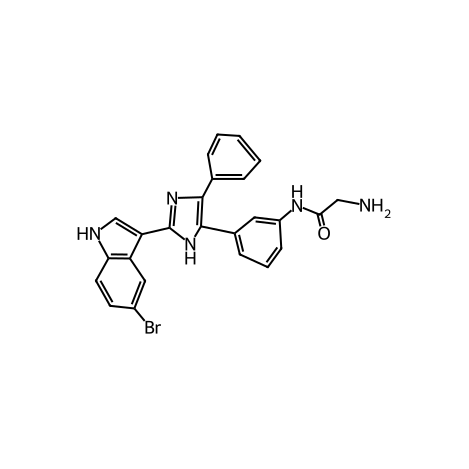 NCC(=O)Nc1cccc(-c2[nH]c(-c3c[nH]c4ccc(Br)cc34)nc2-c2ccccc2)c1